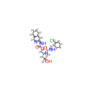 CN(C(=O)NCc1ccccc1Cl)[C@H](COC(=O)Nc1cc2ccccc2cn1)CC(C)(C)O